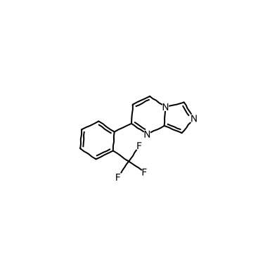 FC(F)(F)c1ccccc1-c1ccn2cncc2n1